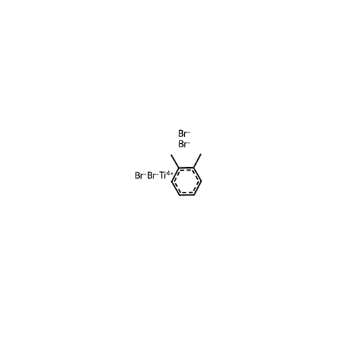 Cc1ccccc1C.[Br-].[Br-].[Br-].[Br-].[Ti+4]